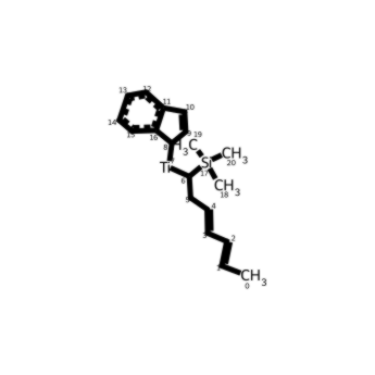 CC=CC=CC[CH]([Ti][CH]1C=Cc2ccccc21)[Si](C)(C)C